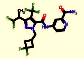 CC(c1nn(CC2CC(F)(F)C2)c(C(=O)Nc2ccnc(C(N)=O)c2)c1C(F)(F)F)C(F)F